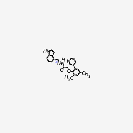 Cc1cc(C)c(OCC(=O)N/N=C/c2cccc3[nH]ccc23)c(-c2cccnc2)c1